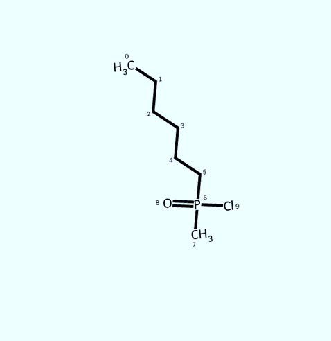 CCCCCCP(C)(=O)Cl